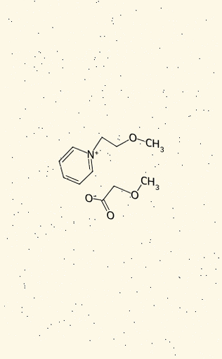 COCC(=O)[O-].COCC[n+]1ccccc1